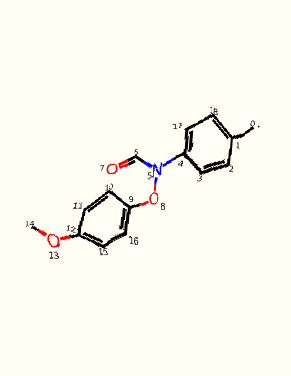 [CH2]c1ccc(N(C=O)Oc2ccc(OC)cc2)cc1